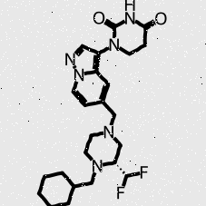 O=C1CCN(c2cnn3ccc(CN4CCN(CC5CCCCC5)[C@@H](C(F)F)C4)cc23)C(=O)N1